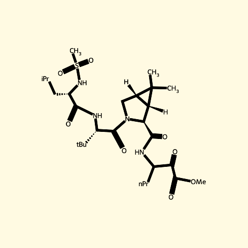 CCCC(NC(=O)[C@@H]1[C@@H]2[C@H](CN1C(=O)[C@@H](NC(=O)[C@H](CC(C)C)NS(C)(=O)=O)C(C)(C)C)C2(C)C)C(=O)C(=O)OC